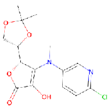 CN(C1=C(O)C(=O)O[C@@H]1[C@@H]1COC(C)(C)O1)c1ccc(Cl)nc1